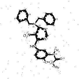 Cc1ccc(Nc2ncnc(N(Cc3ccccc3)Cc3ccccc3)c2[N+](=O)[O-])cc1N(C)C(=O)OC(C)(C)C